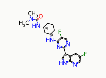 CN(C)C(=O)N[C@@H]1CCC[C@H](Nc2nc(-c3c[nH]c4ncc(F)cc34)ncc2F)C1